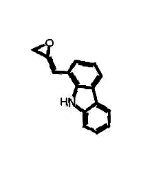 C(=C1CO1)c1cccc2c1[nH]c1ccccc12